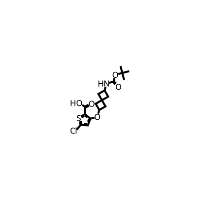 CC(C)(C)OC(=O)NC1CC2(C1)CC(Oc1cc(Cl)sc1C(=O)O)C2